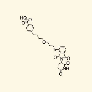 O=C1CCC(N2C(=O)c3cccc(SCCCOCCCCc4ccc(S(=O)(=O)O)cc4)c3C2=O)C(=O)N1